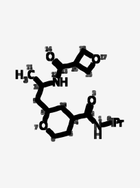 CC(C)NC(=O)C1CCOC(CC(C)NC(=O)C2COC2)C1